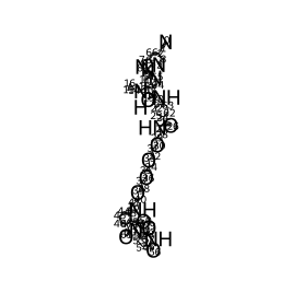 N#Cc1cnc2c(cnn2-c2cc(NC3CC3)c(C(=O)N[C@H]3CC[C@H](C(=O)NCCOCCOCCOCCOCCNc4cccc5c4C(=O)N(C4CCC(=O)NC4=O)C5=O)CC3)cn2)c1